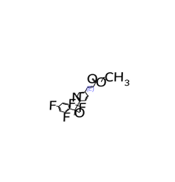 CCOC(=O)/C=C/c1ccc(C(F)(F)C2(c3ccc(F)cc3F)CO2)nc1